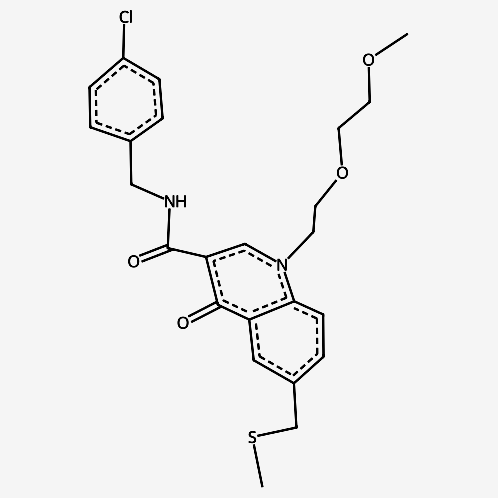 COCCOCCn1cc(C(=O)NCc2ccc(Cl)cc2)c(=O)c2cc(CSC)ccc21